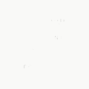 CCOC(=O)C1Cc2cc(C(F)(F)F)ccc2N1